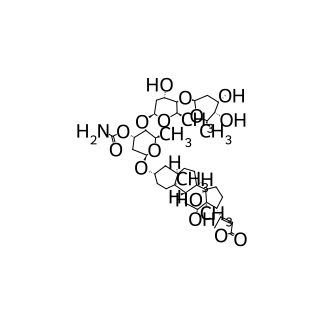 C[C@H]1O[C@@H](O[C@H]2[C@@H](O)C[C@H](O[C@H]3[C@@H](OC(N)=O)C[C@H](O[C@H]4CC[C@@]5(C)[C@H](CC[C@@H]6[C@@H]5C[C@@H](O)[C@]5(C)[C@@H](C7=CC(=O)OC7)CC[C@]65O)C4)O[C@@H]3C)O[C@@H]2C)C[C@H](O)[C@@H]1O